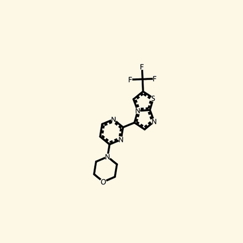 FC(F)(F)c1cn2c(-c3nccc(N4CCOCC4)n3)cnc2s1